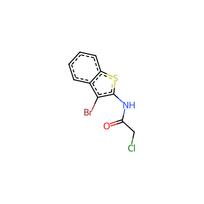 O=C(CCl)Nc1sc2ccccc2c1Br